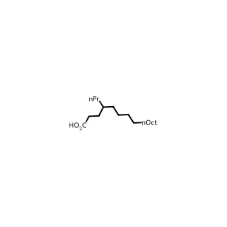 CCCCCCCCCCCCC(CCC)CCC(=O)O